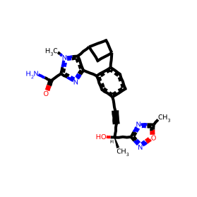 Cc1nc([C@](C)(O)C#Cc2ccc3c(c2)-c2nc(C(N)=O)n(C)c2C2CC3C2)no1